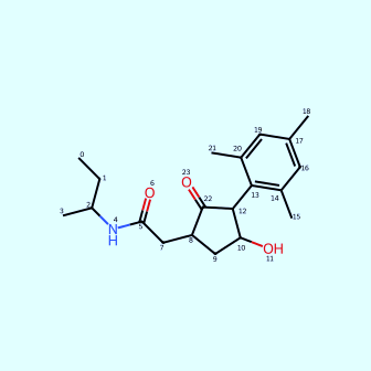 CCC(C)NC(=O)CC1CC(O)C(c2c(C)cc(C)cc2C)C1=O